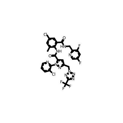 Cc1cc(Cl)cc(C(=O)NCc2ncc(F)cc2F)c1NC(=O)c1cc(Cn2nnc(C(F)(F)F)n2)nn1-c1ncccc1Cl